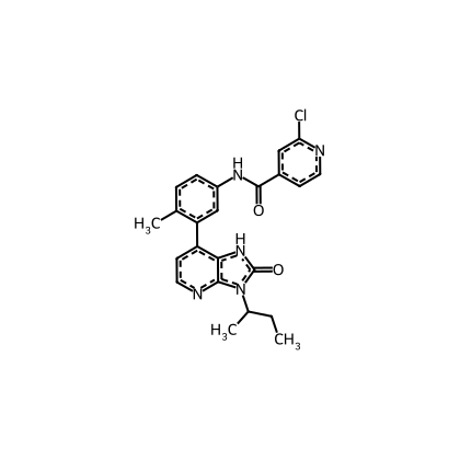 CCC(C)n1c(=O)[nH]c2c(-c3cc(NC(=O)c4ccnc(Cl)c4)ccc3C)ccnc21